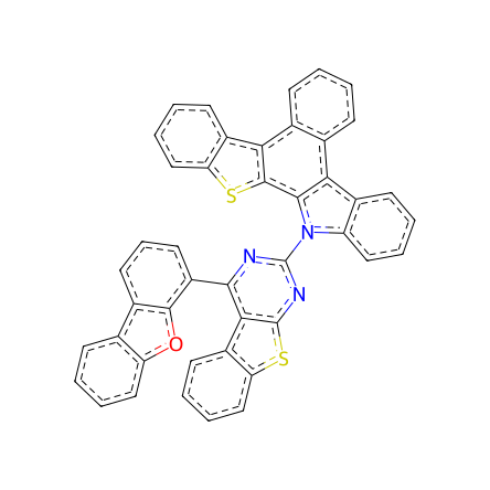 c1ccc2c(c1)oc1c(-c3nc(-n4c5ccccc5c5c6ccccc6c6c7ccccc7sc6c54)nc4sc5ccccc5c34)cccc12